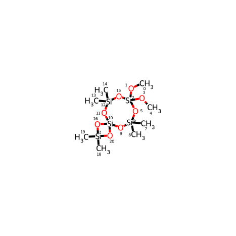 CO[Si]1(OC)O[Si](C)(C)O[Si]2(O[Si](C)(C)O1)O[Si](C)(C)O2